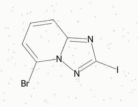 Brc1cccc2nc(I)nn12